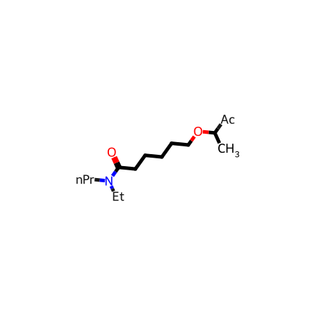 CCCN(CC)C(=O)CCCCCOC(C)C(C)=O